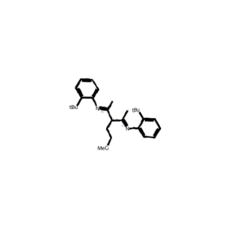 COCCC(/C(C)=N/c1ccccc1C(C)(C)C)/C(C)=N/c1ccccc1C(C)(C)C